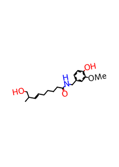 COc1cc(CNC(=O)CCCC/C=C/C(C)CO)ccc1O